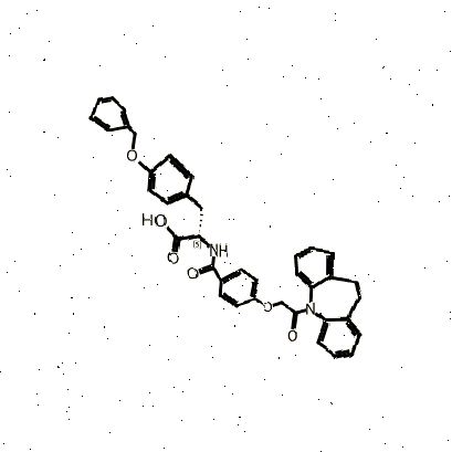 O=C(N[C@@H](Cc1ccc(OCc2ccccc2)cc1)C(=O)O)c1ccc(OCC(=O)N2c3ccccc3CCc3ccccc32)cc1